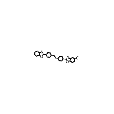 Clc1ccc2oc(-c3ccc(C=Cc4ccc(-c5nc6ccccc6o5)cc4)cc3)nc2c1